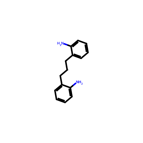 Nc1ccccc1C[CH]Cc1ccccc1N